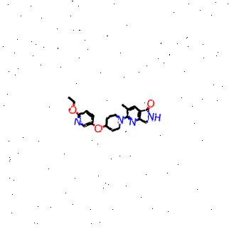 CCOc1ccc(OC2CCN(c3nc4c(cc3C)C(=O)NC4)CC2)cn1